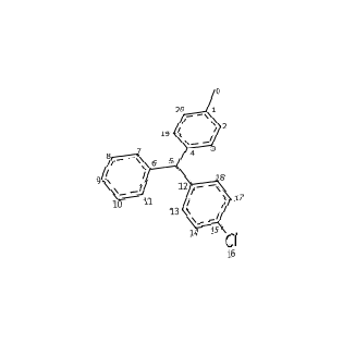 Cc1ccc(C(c2ccccc2)c2ccc(Cl)cc2)cc1